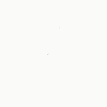 Cc1cccc2c(-c3cccc(NCc4ccc(C(Cc5ccccc5)C(=O)O)cc4)c3)c(C(=O)c3ccccc3)cnc12